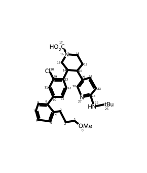 COCCCc1ccccc1-c1ccc(C2CN(C(=O)O)CCC2c2ccc(NC(C)(C)C)nc2)c(Cl)c1